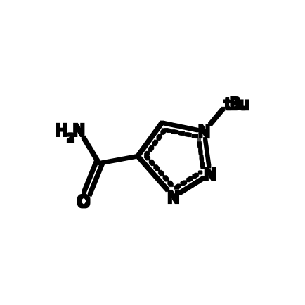 CC(C)(C)n1cc(C(N)=O)nn1